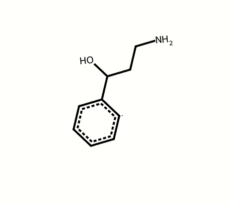 NCCC(O)c1[c]cccc1